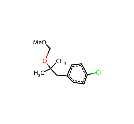 COCOC(C)(C)Cc1ccc(Cl)cc1